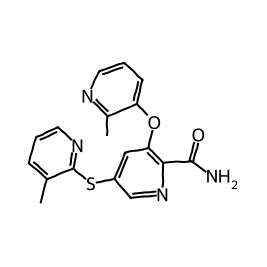 Cc1cccnc1Sc1cnc(C(N)=O)c(Oc2cccnc2C)c1